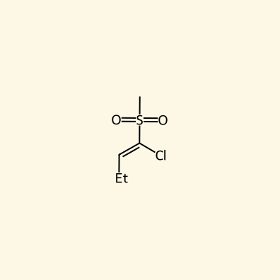 CCC=C(Cl)S(C)(=O)=O